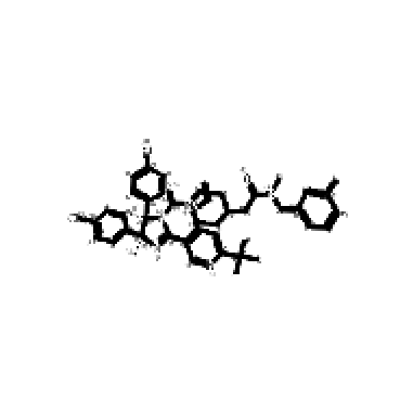 CCOc1cc(C(C)(C)C)ncc1C1=N[C@@](C)(c2ccc(Cl)cc2)[C@@](C)(c2ccc(Cl)cc2)N1C(=O)N1CCC(CC(=O)N(C)Cc2cccc(C)c2)CC1